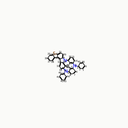 c1ccc(N2c3cccc4c3B3c5c2cccc5-n2c5ccc6sc7ccccc7c6c5c5ccc(c3c52)N4c2ccccc2)cc1